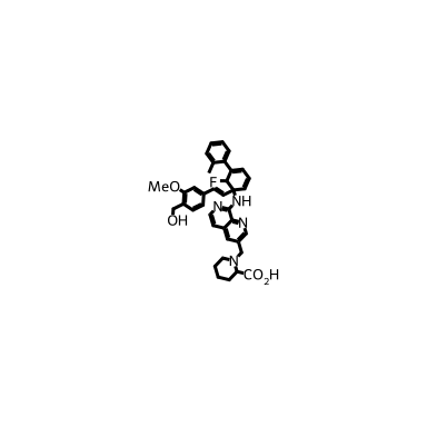 COc1cc(/C(F)=C/C2(Nc3nccc4cc(CN5CCCCC5C(=O)O)cnc34)C=CC=C(c3ccccc3C)C2C)ccc1CO